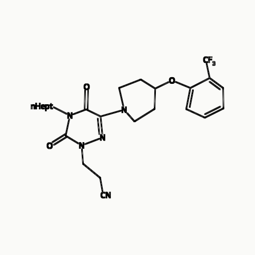 CCCCCCCn1c(=O)c(N2CCC(Oc3ccccc3C(F)(F)F)CC2)nn(CCC#N)c1=O